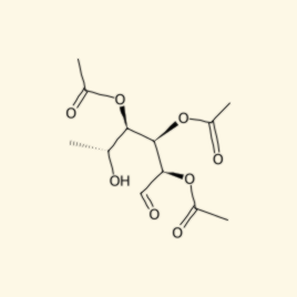 CC(=O)O[C@H]([C@H](OC(C)=O)[C@@H](C)O)[C@H](C=O)OC(C)=O